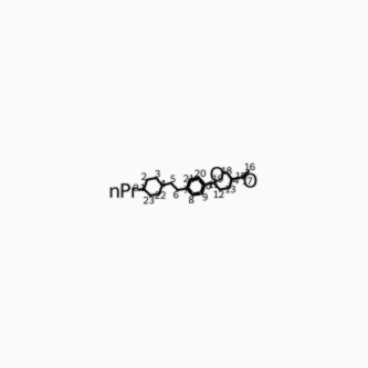 CCCC1CCC(CCc2ccc(C3CCC(C4CO4)CO3)cc2)CC1